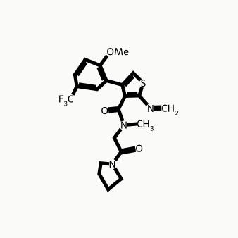 C=Nc1scc(-c2cc(C(F)(F)F)ccc2OC)c1C(=O)N(C)CC(=O)N1CCCC1